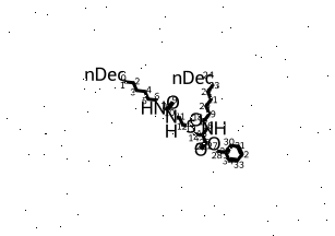 CCCCCCCCCCCCCCCCNC(=O)NCCSCC(NC(=O)CCCCCCCCCCCCCCC)C(=O)OCc1ccccc1